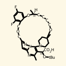 Cc1nc2cc3nn2c(c1[C@H](OC(C)(C)C)C(=O)O)N1CCC(C)(CC1)OCCCC[C@H](C)Oc1cc(F)cc(F)c1COC3